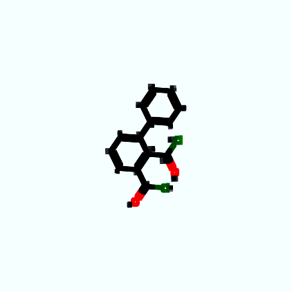 O=C(Cl)c1cccc(-c2ccccc2)c1C(=O)Cl